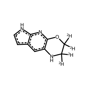 [2H]C1([2H])Nc2cc3cc[nH]c3nc2OC1([2H])[2H]